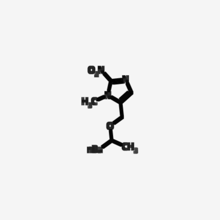 CCCCC(C)OCc1cnc([N+](=O)[O-])n1C